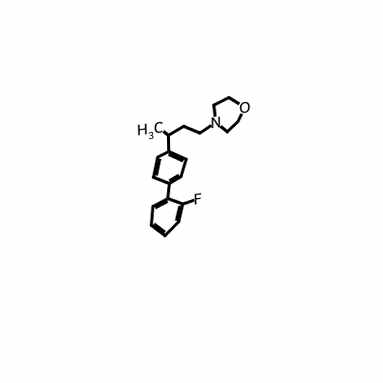 CC(CCN1CCOCC1)c1ccc(-c2ccccc2F)cc1